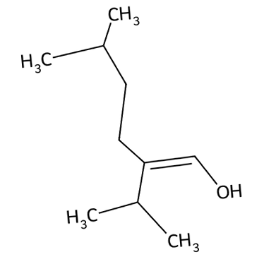 CC(C)CCC(=CO)C(C)C